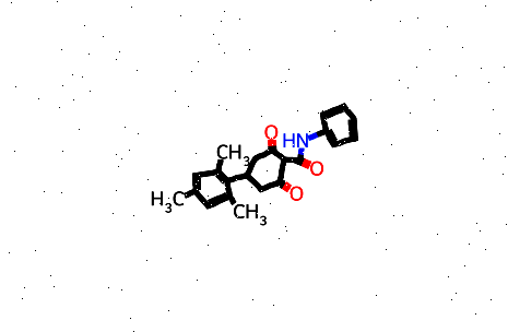 Cc1cc(C)c(C2CC(=O)C(C(=O)Nc3ccccc3)C(=O)C2)c(C)c1